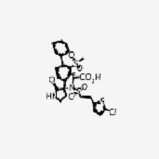 CS(=O)(=O)c1c(-c2ccccc2)ccc([C@@]2(N(CC(=O)O)S(=O)(=O)/C=C/c3ccc(Cl)s3)CCNC2=O)c1F